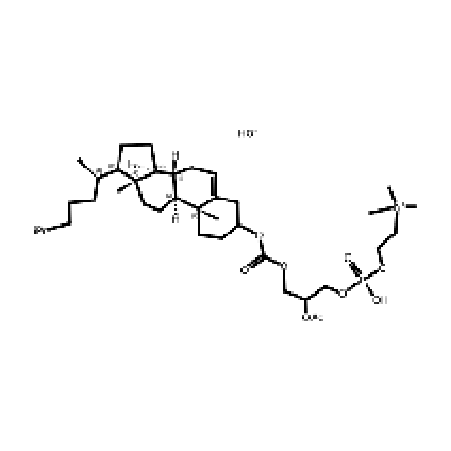 CC(=O)OC(COC(=O)OC1CC[C@@]2(C)C(=CC[C@H]3[C@@H]4CC[C@H]([C@H](C)CCCC(C)C)[C@@]4(C)CC[C@@H]32)C1)COP(=O)(O)OCC[N+](C)(C)C.[OH-]